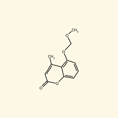 COCOc1cccc2oc(=O)cc(C)c12